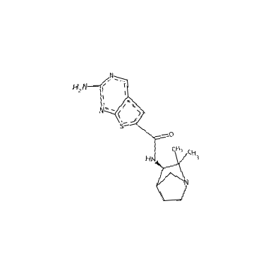 CC1(C)[C@H](NC(=O)c2cc3cnc(N)nc3s2)C2CCN1C2